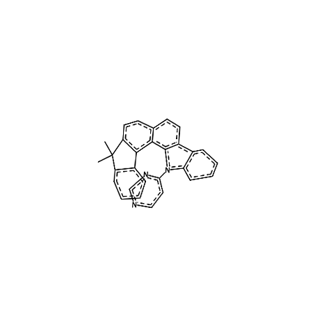 CC1(C)c2ccccc2-c2c1ccc1ccc3c4ccccc4n(-c4ccncn4)c3c21